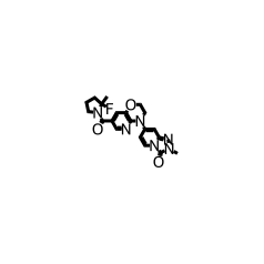 Cn1nc2cc(N3CCOc4cc(C(=O)N5CCCC5(C)F)cnc43)ccn2c1=O